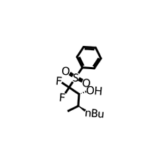 CCCC[C@@H](C)[C@@H](O)C(F)(F)S(=O)(=O)c1ccccc1